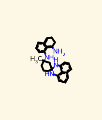 CC1(Nc2cccc3c2=C(N)CCC=3)CCCC2(C1)Nc1cccc3cccc(c13)N2